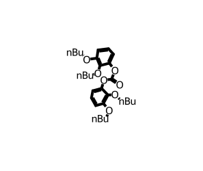 CCCCOc1cccc(OC(=O)Oc2cccc(OCCCC)c2OCCCC)c1OCCCC